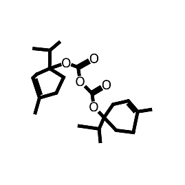 CC1=CCC(OC(=O)OC(=O)OC2(C(C)C)CC=C(C)CC2)(C(C)C)CC1